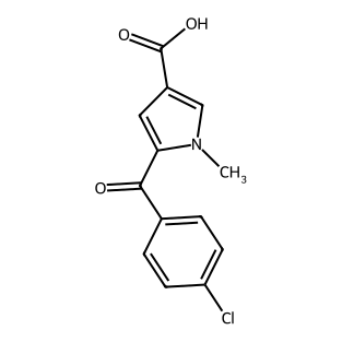 Cn1cc(C(=O)O)cc1C(=O)c1ccc(Cl)cc1